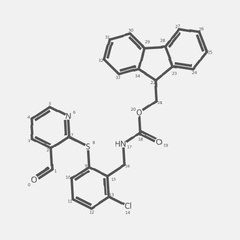 O=Cc1cccnc1Sc1cccc(Cl)c1CNC(=O)OCC1c2ccccc2-c2ccccc21